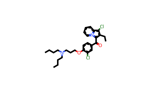 CCCCN(CCCC)CCCOc1ccc(C(=O)c2c(CC)c(Cl)c3ccccn23)cc1Cl